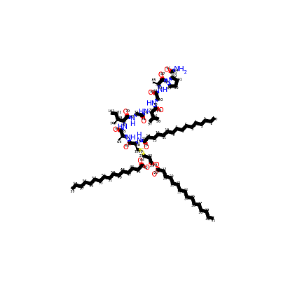 CCCCCCCCCCCCCCCC(=O)N[C@@H](CSCCC(OC(=O)CCCCCCCCCCCCCCC)OC(=O)CCCCCCCCCCCCCCC)C(=O)N[C@@H](C)C(=O)N[C@H](C(=O)NCC(=O)N[C@H](C(=O)NCC(=O)N[C@@H](C)C(=O)N1CCC[C@H]1C(N)=O)C(C)C)[C@@H](C)CC